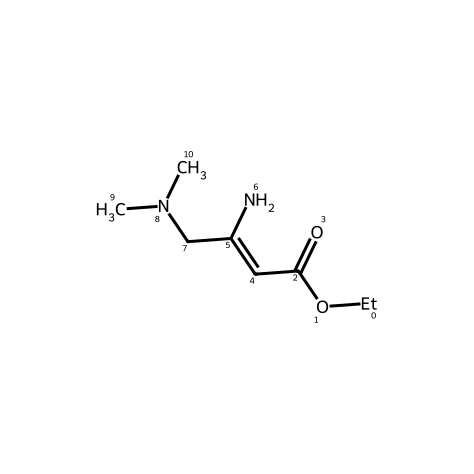 CCOC(=O)C=C(N)CN(C)C